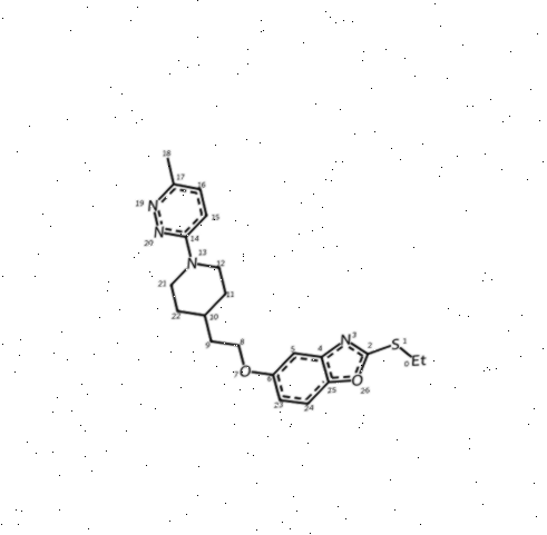 CCSc1nc2cc(OCCC3CCN(c4ccc(C)nn4)CC3)ccc2o1